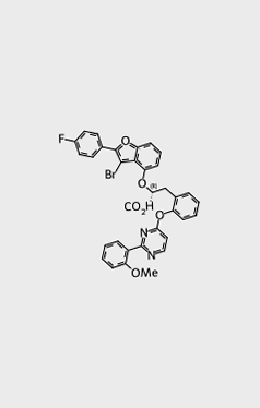 COc1ccccc1-c1nccc(Oc2ccccc2C[C@@H](Oc2cccc3oc(-c4ccc(F)cc4)c(Br)c23)C(=O)O)n1